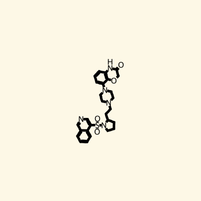 O=C1COc2c(cccc2N2CCN(CCC3CCCN3S(=O)(=O)c3cncc4ccccc34)CC2)N1